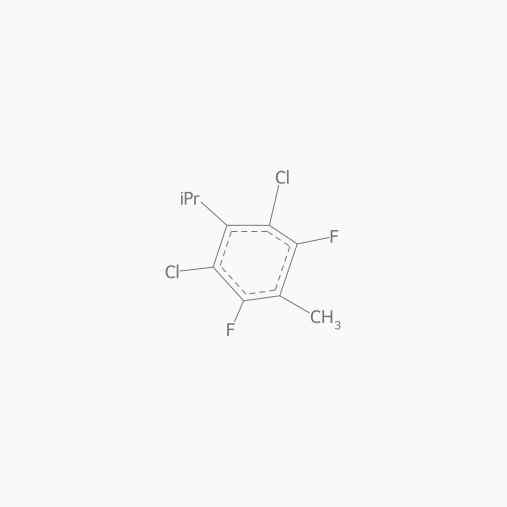 Cc1c(F)c(Cl)c(C(C)C)c(Cl)c1F